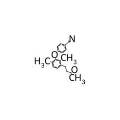 CC(=O)CCc1ccc(C)c(Oc2ccc(C#N)cc2)c1C